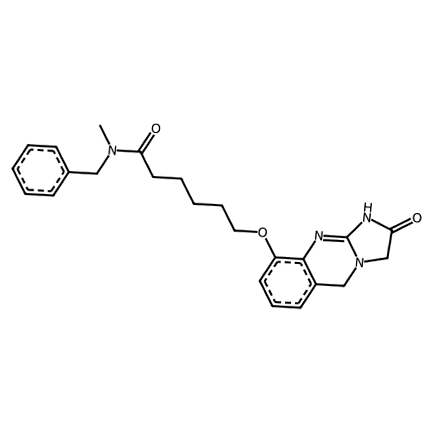 CN(Cc1ccccc1)C(=O)CCCCCOc1cccc2c1N=C1NC(=O)CN1C2